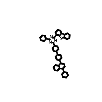 c1ccc(-c2nc(-c3ccc(-c4ccc(-c5ccc(-c6ccccc6)c6ccccc56)cc4)cc3)nc(-c3cccc4c3sc3ccccc34)n2)cc1